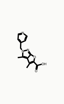 Cc1c(C(=O)O)oc2nn(Cc3ccncc3)c(C)c12